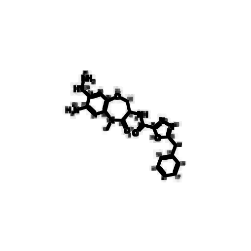 CN1C(=O)C(NC(=O)c2nnc(Cc3ccccc3)o2)COc2cc(NN)c(N)cc21